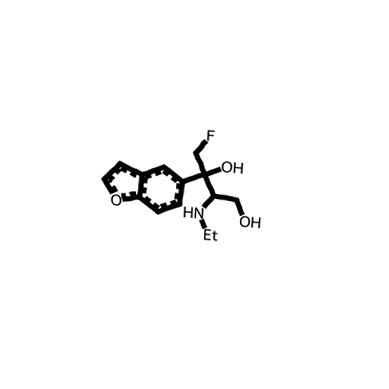 CCNC(CO)C(O)(CF)c1ccc2occc2c1